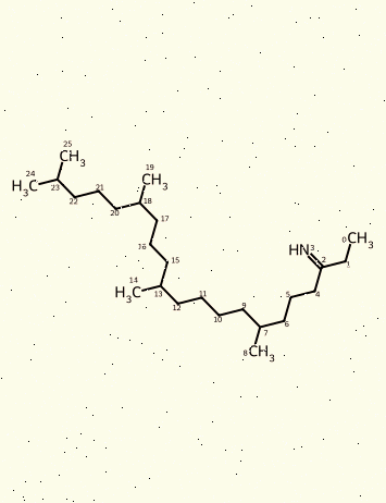 CCC(=N)CCCC(C)CCCCC(C)CCCC(C)CCCC(C)C